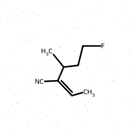 C/C=C(/C#N)C(C)CCF